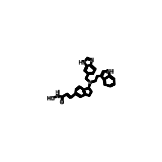 O=C(C=Cc1ccc2c(c1)CCC2N(CCc1c[nH]c2ccccc12)Cc1ccc2nc[nH]c2c1)NO